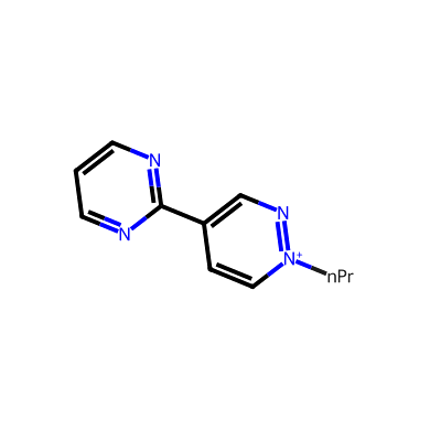 CCC[n+]1ccc(-c2ncccn2)cn1